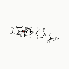 CC(C)C(=O)CC1CCC(c2cnc(N3C4CCC3CN(C)C4)nc2)CC1